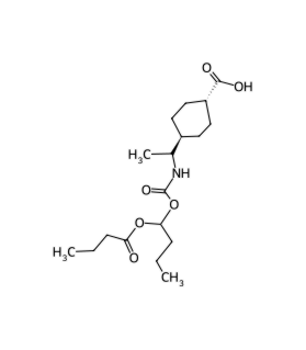 CCCC(=O)OC(CCC)OC(=O)NC(C)[C@H]1CC[C@H](C(=O)O)CC1